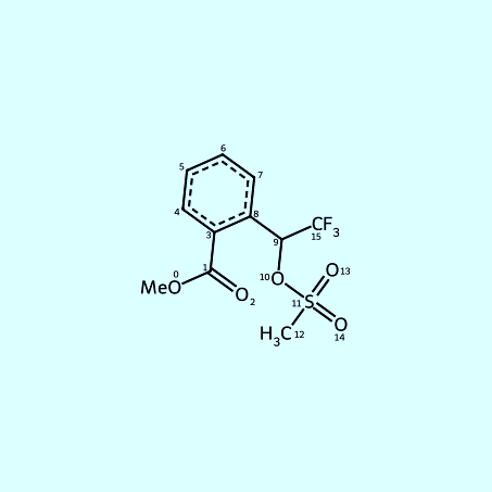 COC(=O)c1ccccc1C(OS(C)(=O)=O)C(F)(F)F